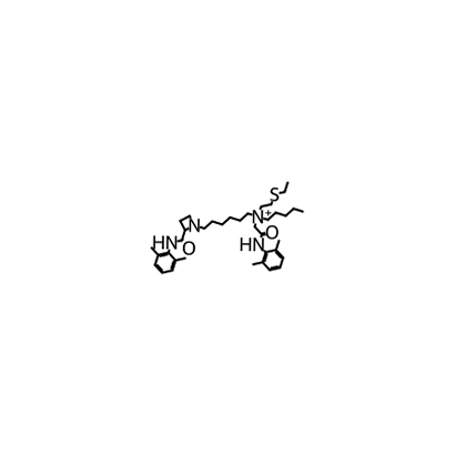 CCCCC[N+](CCCCCCN1CCC1C(=O)Nc1c(C)cccc1C)(CCSCC)CC(=O)Nc1c(C)cccc1C